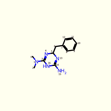 CN(C)C1=NC(Cc2ccccc2)N=C(N)N1